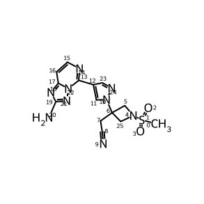 CS(=O)(=O)N1CC(CC#N)(n2cc(-c3nccc4nc(N)nn34)cn2)C1